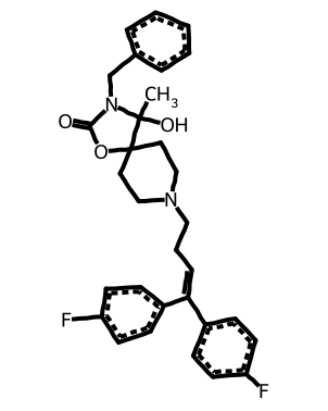 CC1(O)N(Cc2ccccc2)C(=O)OC12CCN(CCC=C(c1ccc(F)cc1)c1ccc(F)cc1)CC2